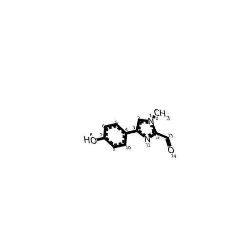 Cn1cc(-c2ccc(O)cc2)nc1C=O